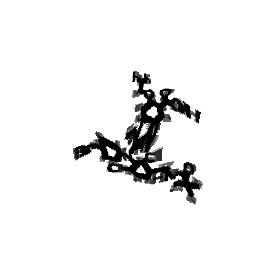 Cn1c(N(c2ccc(Br)cc2)c2c(Cl)ccc(CNC(=O)C(C)(C)C)c2Cl)nc2cc(C(=O)O)c(OCC(F)F)cc21